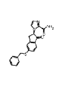 NC(=O)c1nccn1C1Cc2cc(SCc3ccccc3)ccc2C1=O